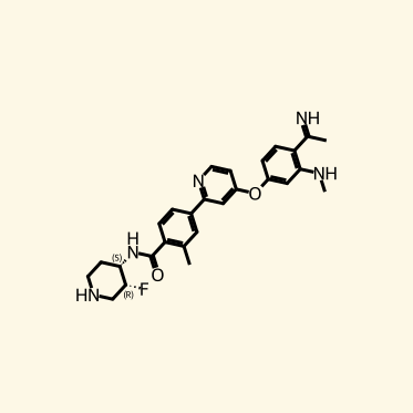 CNc1cc(Oc2ccnc(-c3ccc(C(=O)N[C@H]4CCNC[C@H]4F)c(C)c3)c2)ccc1C(C)=N